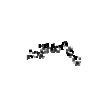 CCc1cc(O)c(F)cc1-c1ccc2c(-c3nc4c([nH]3)CCN(C(=O)c3cnc(N5CCCN(C)CC5)cn3)C4)n[nH]c2c1